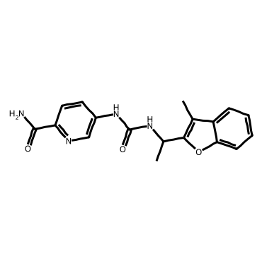 Cc1c(C(C)NC(=O)Nc2ccc(C(N)=O)nc2)oc2ccccc12